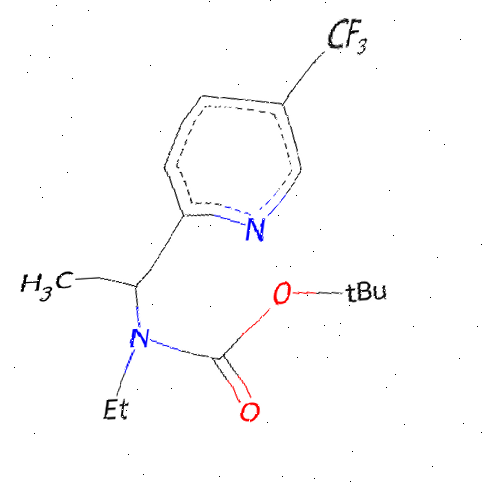 CCN(C(=O)OC(C)(C)C)C(C)c1ccc(C(F)(F)F)cn1